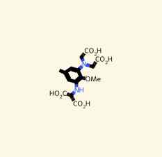 COc1c(NC(C(=O)O)C(=O)O)cc(C)cc1N(CC(=O)O)CC(=O)O